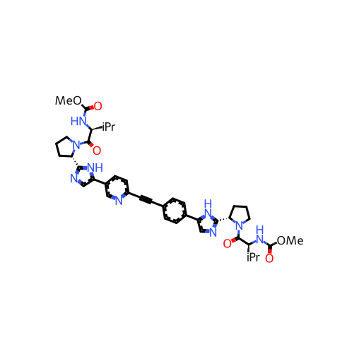 COC(=O)N[C@H](C(=O)N1CCC[C@H]1c1ncc(-c2ccc(C#Cc3ccc(-c4cnc([C@@H]5CCCN5C(=O)[C@@H](NC(=O)OC)C(C)C)[nH]4)cn3)cc2)[nH]1)C(C)C